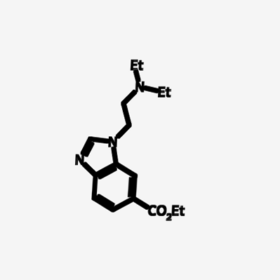 CCOC(=O)c1ccc2ncn(CCN(CC)CC)c2c1